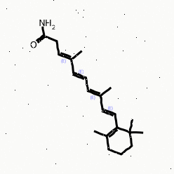 CC1=C(/C=C/C(C)=C/C=C/C(C)=C/CC(N)=O)C(C)(C)CCC1